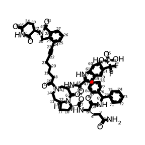 NC(=O)CC[C@H](NC(=O)[C@@H]1CC[C@@H]2CCN(C(=O)CCCCC#Cc3cccc4c3CN(C3CCC(=O)NC3=O)C4=O)C[C@H](NC(=O)c3cc4cc(C(F)(F)P(=O)(O)O)ccc4[nH]3)C(=O)N21)C(=O)NC(c1ccccc1)c1ccccc1